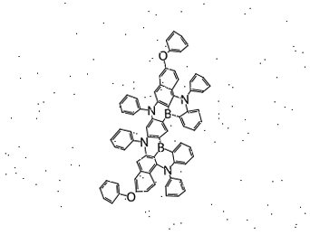 c1ccc(Oc2ccc3c4c5c(cc3c2)N(c2ccccc2)c2cc3c(cc2B5c2ccccc2N4c2ccccc2)B2c4ccccc4N(c4ccccc4)c4c2c(cc2cc(Oc5ccccc5)ccc42)N3c2ccccc2)cc1